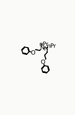 CCCN(CCCOc1ccccc1)N(CCC)CCOc1ccccc1